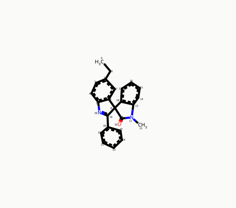 CCc1ccc2c(c1)C1(C(=O)N(C)c3ccccc31)C(c1ccccc1)=N2